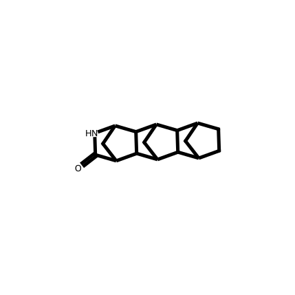 O=C1NC2CC1C1C3CC(C4C5CCC(C5)C34)C21